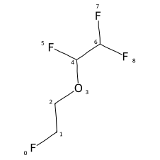 FCCOC(F)C(F)F